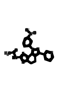 CC(=O)Nc1nc2c(s1)-c1c(c(-c3cccnc3)nn1-c1cccc([N+](=O)[O-])c1)CC2